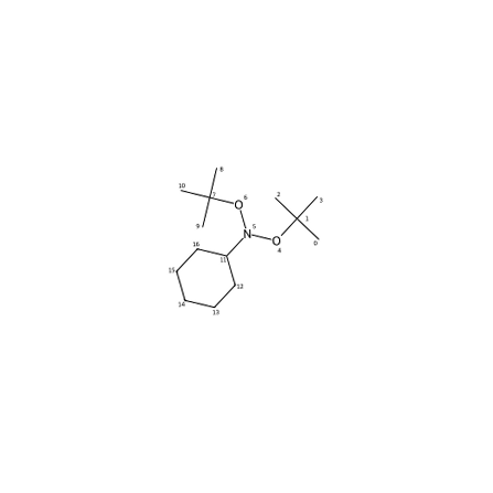 CC(C)(C)ON(OC(C)(C)C)C1CCCCC1